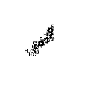 CN(C(O)=S)C1CN(c2ccc(N3CCN(C(=O)c4cc5cc(F)ccc5[nH]4)CC3)c(F)c2)C(=O)O1